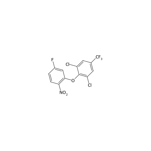 O=[N+]([O-])c1ccc(F)cc1Oc1c(Cl)cc(C(F)(F)F)cc1Cl